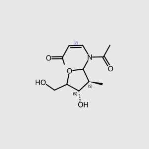 CC(=O)/C=C\N(C(C)=O)C1OC(CO)[C@@H](O)[C@@H]1C